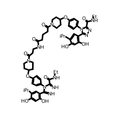 CCNC(=O)C(=N)N(C(=N)c1cc(C(C)C)c(O)cc1O)c1ccc(OC2CCN(C(=O)CCNC(=O)CCCC(=O)N3CCC(Oc4ccc(-n5c(C(=O)NCC)nnc5-c5cc(C(C)C)c(O)cc5O)cc4)CC3)CC2)cc1